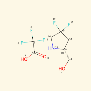 O=C(O)C(F)(F)F.OC[C@H]1CC(F)(F)CN1